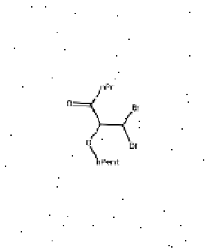 CCCCCOC(C(=O)CCC)C(Br)Br